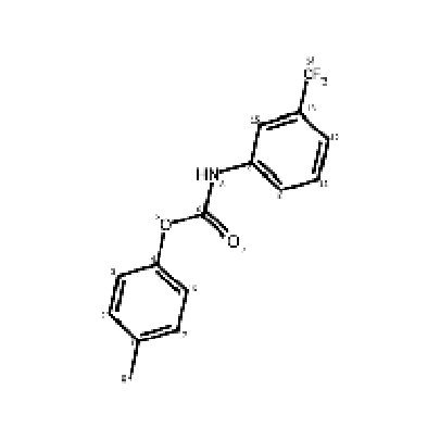 Cc1ccc(OC(=O)Nc2cccc(C(F)(F)F)c2)cc1